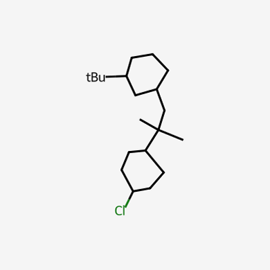 CC(C)(C)C1CCCC(CC(C)(C)C2CCC(Cl)CC2)C1